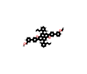 CCCc1cccc(C)c1-c1cc2c3oc4cc(-c5cccc(OCC)c5)ccc4c3cc3c(-c4c(C)cccc4CCC)cc4c5oc6cc(-c7cccc(COC)c7)ccc6c5cc1c4c32